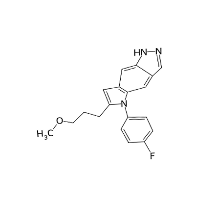 COCCCc1cc2cc3[nH]ncc3cc2n1-c1ccc(F)cc1